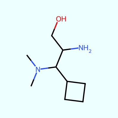 CN(C)C(C(N)CO)C1CCC1